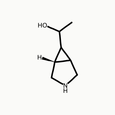 CC(O)C1C2CNC[C@@H]21